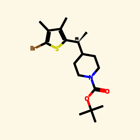 Cc1c(Br)sc([C@H](C)C2CCN(C(=O)OC(C)(C)C)CC2)c1C